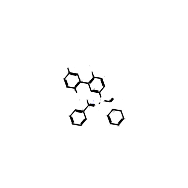 C=C(B(/N=C(\C)c1ccccc1)c1ccc(C)c(-c2cc(C)ccc2C)c1)[C@H]1C=CC=CC1